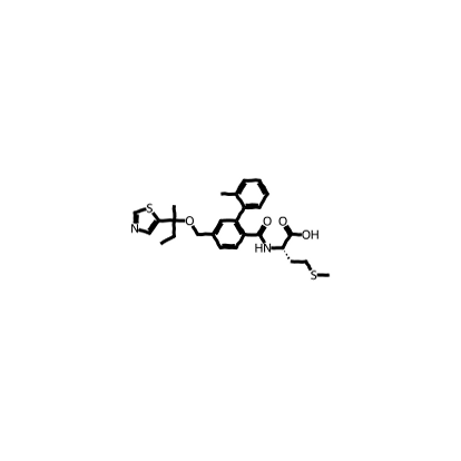 CCC(C)(OCc1ccc(C(=O)N[C@@H](CCSC)C(=O)O)c(-c2ccccc2C)c1)c1cncs1